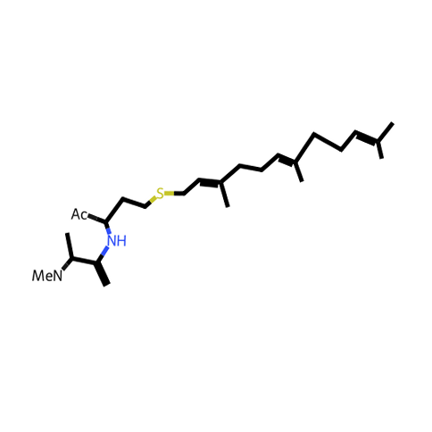 C=C(NC(CCSC/C=C(\C)CC/C=C(\C)CCC=C(C)C)C(C)=O)C(C)NC